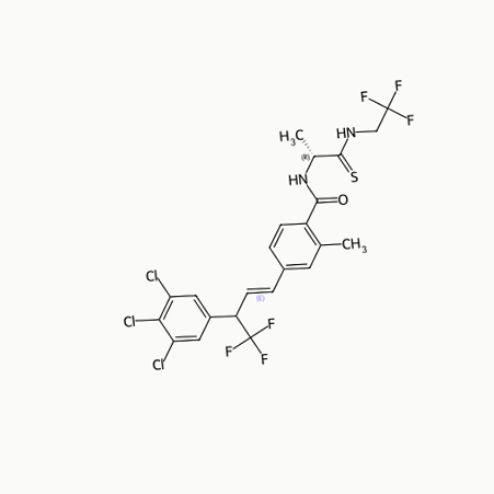 Cc1cc(/C=C/C(c2cc(Cl)c(Cl)c(Cl)c2)C(F)(F)F)ccc1C(=O)N[C@H](C)C(=S)NCC(F)(F)F